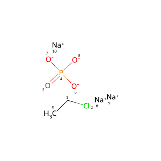 CCCl.O=P([O-])([O-])[O-].[Na+].[Na+].[Na+]